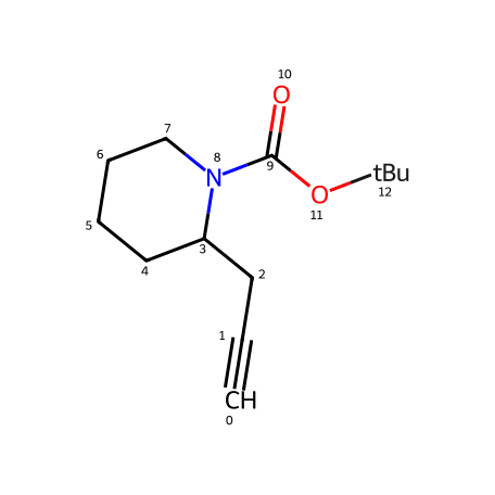 C#CCC1CCCCN1C(=O)OC(C)(C)C